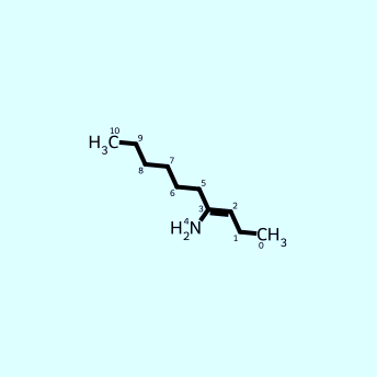 CCC=C(N)CCCCCC